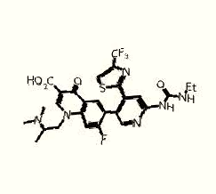 CCNC(=O)Nc1cc(-c2nc(C(F)(F)F)cs2)c(-c2cc3c(=O)c(C(=O)O)cn(CC(C)N(C)C)c3cc2F)cn1